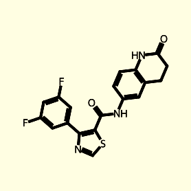 O=C1CCc2cc(NC(=O)c3scnc3-c3cc(F)cc(F)c3)ccc2N1